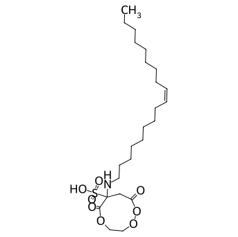 CCCCCCCC/C=C\CCCCCCCCNC1(S(=O)(=O)O)CC(=O)OOCCOC1=O